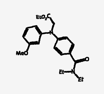 CCOC(=O)CN(c1ccc(C(=O)N(CC)CC)cc1)c1cccc(OC)c1